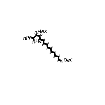 CCCCCCCCCCCCCCCCCCCCCCC(CCCCCC)C(CCC)CCCCCC